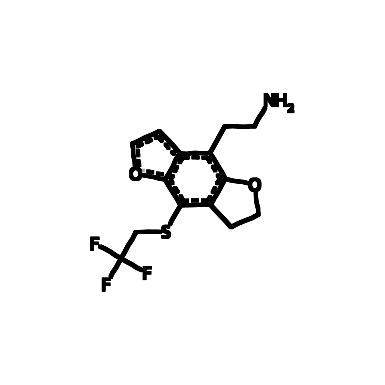 NCCc1c2c(c(SCC(F)(F)F)c3occc13)CCO2